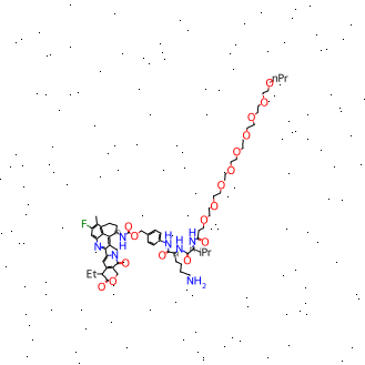 CCCOCCOCCOCCOCCOCCOCCOCCOCCOCCC(=O)N[C@H](C(=O)N[C@@H](CCCCN)C(=O)Nc1ccc(COC(=O)N[C@H]2CCc3c(C)c(F)cc4nc5c(c2c34)Cn2c-5cc3c(c2=O)COC(=O)C3CC)cc1)C(C)C